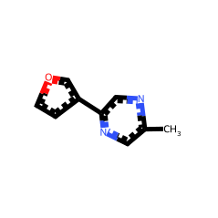 Cc1cnc(-c2ccoc2)cn1